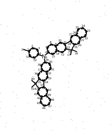 Cc1ccc(N(c2ccc3cc4c(cc3c2)C(C)(C)c2cc3ccccc3cc2-4)c2ccc3cc4c(cc3c2)C(C)(C)c2cc3ccccc3cc2-4)cc1